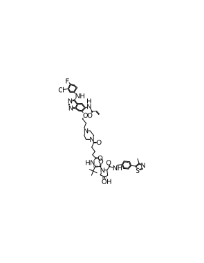 C=CC(=O)Nc1cc2c(Nc3ccc(F)c(Cl)c3)ncnc2cc1OCCCN1CCN(C(=O)CCCC(=O)N[C@H](C(=O)N2C[C@H](O)CC2C(=O)NCc2ccc(-c3scnc3C)cc2)C(C)(C)C)CC1